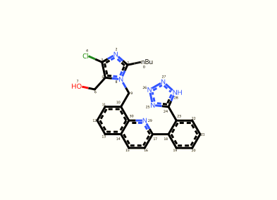 CCCCc1nc(Cl)c(CO)n1Cc1cccc2ccc(-c3ccccc3-c3nnn[nH]3)nc12